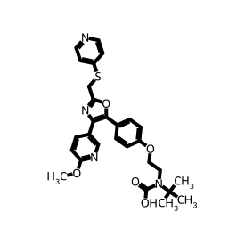 COc1ccc(-c2nc(CSc3ccncc3)oc2-c2ccc(OCCN(C(=O)O)C(C)(C)C)cc2)cn1